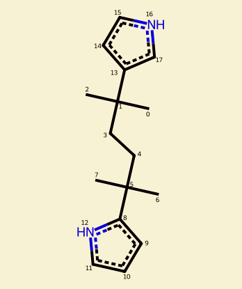 CC(C)(CCC(C)(C)c1ccc[nH]1)c1cc[nH]c1